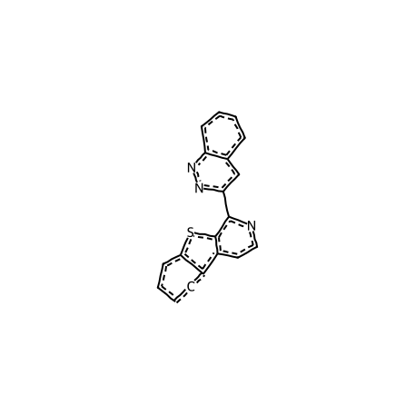 c1ccc2nnc(-c3nccc4c3sc3ccccc34)cc2c1